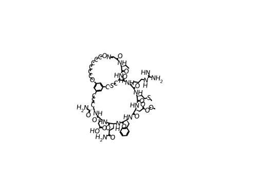 CC[C@@H]1NC(=O)/C=N/OCCCCCCOc2cc3cc(c2)CSC[C@H](NC1=O)C(=O)N[C@@H](CCCNC(=N)N)C(=O)N[C@@H](CCSC)C(=O)N[C@@H](CC(=O)OOC)C(=O)N[C@@H](Cc1ccccc1)C(=O)N[C@@H](CCC(N)=O)C(=O)N[C@@H](CC(=O)O)C(=O)N[C@H](C(N)=O)CSC3